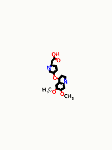 COc1cc2nccc(Oc3ccc(CC(=O)O)nc3)c2cc1OC